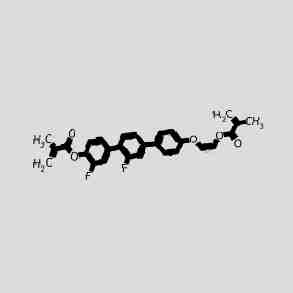 C=C(C)C(=O)O/C=C\Oc1ccc(-c2ccc(-c3ccc(OC(=O)C(=C)C)c(F)c3)c(F)c2)cc1